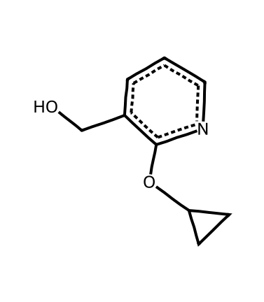 OCc1cccnc1OC1CC1